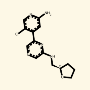 Nc1cc(-c2cncc(NC[C@H]3CCCO3)n2)c(Cl)cn1